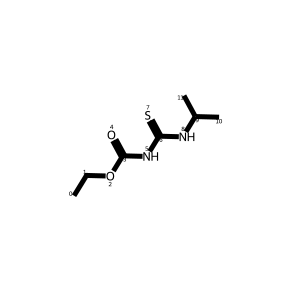 CCOC(=O)NC(=S)NC(C)C